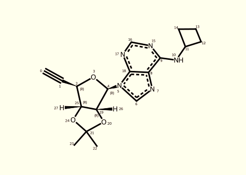 C#C[C@H]1O[C@@H](n2cnc3c(NC4CCC4)ncnc32)[C@@H]2OC(C)(C)O[C@@H]21